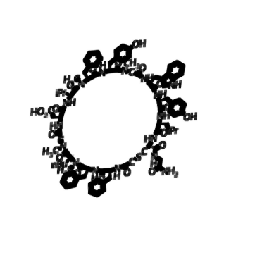 CCCC[C@H]1C(=O)N(C)CC(=O)N[C@@H](CC(=O)O)C(=O)N[C@@H](C(C)C)C(=O)N(C)[C@@H](Cc2ccccc2)C(=O)N[C@@H](Cc2ccc(O)cc2)C(=O)N(C)CC(=O)N[C@@H](Cc2c[nH]c3ccccc23)C(=O)N[C@@H](Cc2ccc(O)cc2)C(=O)N[C@@H](CC(C)C)C(=O)N[C@H](C(=O)NCC(N)=O)CSCC(=O)N[C@@H](Cc2ccccc2)C(=O)N[C@@H](Cc2ccccc2)C(=O)N1C